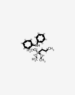 CCC[Si](OC)(OC)OC.c1ccc(Nc2ccccc2)cc1